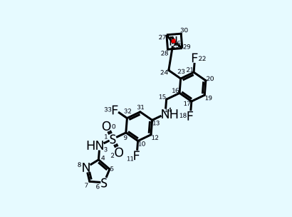 O=S(=O)(Nc1cscn1)c1c(F)cc(NCc2c(F)ccc(F)c2CN2C=C3CC2C3)cc1F